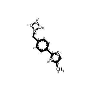 Cc1csc(-c2ccc(CN3OSO3)cc2)n1